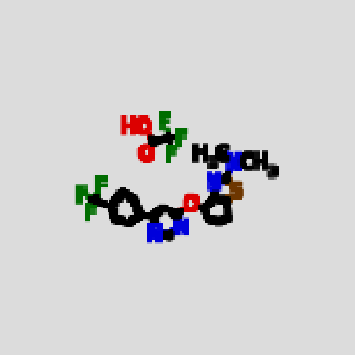 CN(C)c1nc2c(Oc3cc(-c4ccc(C(F)(F)F)cc4)ncn3)cccc2s1.O=C(O)C(F)(F)F